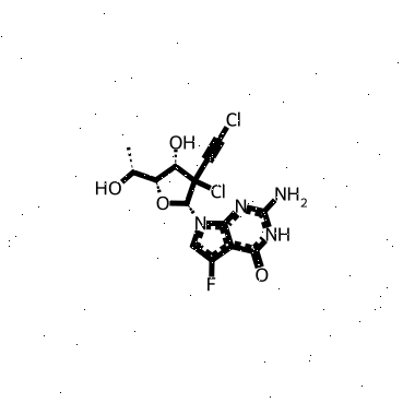 C[C@@H](O)[C@H]1O[C@@H](n2cc(F)c3c(=O)[nH]c(N)nc32)C(Cl)(C#CCl)[C@H]1O